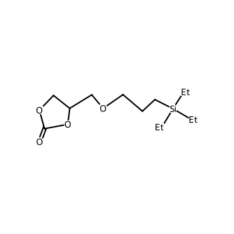 CC[Si](CC)(CC)CCCOCC1COC(=O)O1